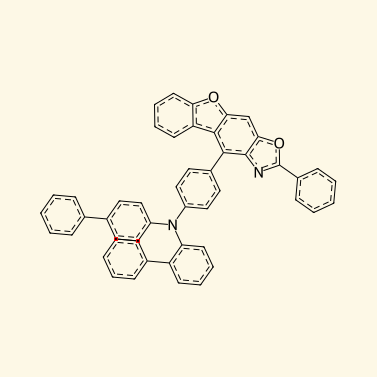 c1ccc(-c2ccc(N(c3ccc(-c4c5nc(-c6ccccc6)oc5cc5oc6ccccc6c45)cc3)c3ccccc3-c3ccccc3)cc2)cc1